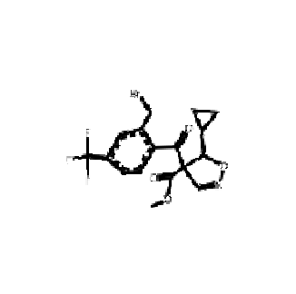 COC(=O)C1(C(=O)c2ccc(C(F)(F)F)cc2CBr)C=NOC1C1CC1